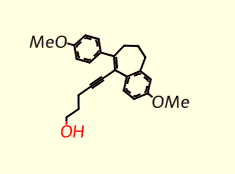 COc1ccc(C2=C(C#CCCCO)c3ccc(OC)cc3CCC2)cc1